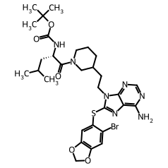 CC(C)C[C@H](NC(=O)OC(C)(C)C)C(=O)N1CCCC(CCn2c(Sc3cc4c(cc3Br)OCO4)nc3c(N)ncnc32)C1